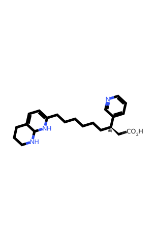 O=C(O)C[C@@H](CCCCCCC1=CC=C2CCCNC2N1)c1cccnc1